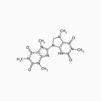 CN1CN(c2nc3c(c(=O)n(C)c(=O)n3C)n2C)c2[nH]c(=O)n(C)c(=O)c21